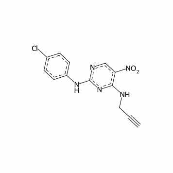 C#CCNc1nc(Nc2ccc(Cl)cc2)ncc1[N+](=O)[O-]